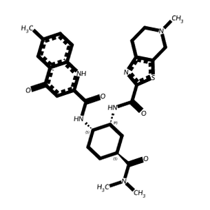 Cc1ccc2[nH]c(C(=O)N[C@H]3CC[C@H](C(=O)N(C)C)C[C@H]3NC(=O)c3nc4c(s3)CN(C)CC4)cc(=O)c2c1